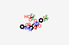 COc1cnc(NC(=O)c2ccccc2)c(OC)c1CN1C(=O)N(c2ccc(SC(F)(F)F)cc2)C(=O)C1(C)C.O=C(O)C(F)(F)F